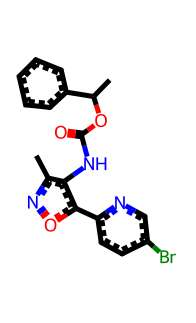 Cc1noc(-c2ccc(Br)cn2)c1NC(=O)OC(C)c1ccccc1